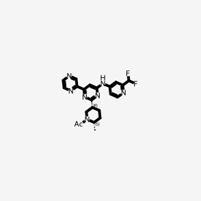 CC(=O)N1C[C@H](c2nc(Nc3ccnc(C(F)F)c3)cc(-c3cnccn3)n2)CC[C@@H]1C